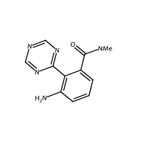 CNC(=O)c1cccc(N)c1-c1ncncn1